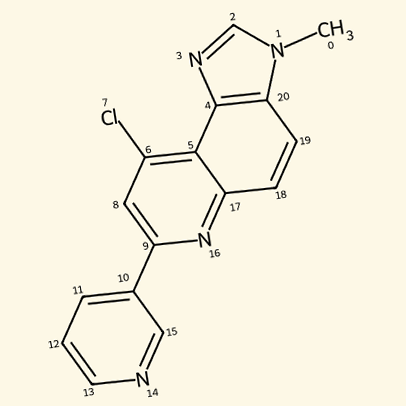 Cn1cnc2c3c(Cl)cc(-c4cccnc4)nc3ccc21